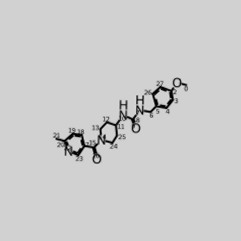 COc1ccc(CNC(=O)NC2CCN(C(=O)c3ccc(C)nc3)CC2)cc1